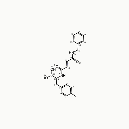 Cc1ccc(C[C@H](NC(=O)/C=C/C(=O)NCc2ccccc2)B(O)O)cc1